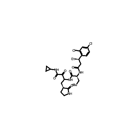 CC[C@H](CC(=O)N[C@@H](CC(C)(C)C)C(=O)NC(C[C@@H]1CCNC1=O)C(=O)C(=O)NC1CC1)c1ccc(Cl)cc1Cl